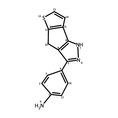 Nc1ccc(-c2n[nH]c3c2Cc2sccc2-3)cc1